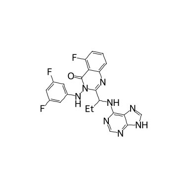 CCC(Nc1ncnc2[nH]cnc12)c1nc2cccc(F)c2c(=O)n1Nc1cc(F)cc(F)c1